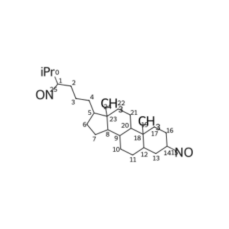 CC(C)C(CCCC1CCC2C3CCC4CC(N=O)CCC4(C)C3CCC12C)N=O